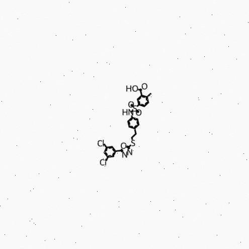 Cc1ccc(S(=O)(=O)Nc2ccc(CCSc3nnc(-c4cc(Cl)cc(Cl)c4)o3)cc2)cc1C(=O)O